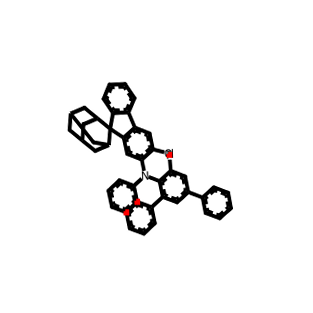 Fc1cc(-c2ccccc2)cc(-c2ccccc2)c1N(c1ccccc1)c1cc2c(cc1Cl)-c1ccccc1C21C2CC3CC(C2)CC1C3